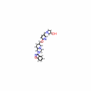 OC1CCN(Cc2ccc(OCC3CCC4CN(c5noc6ccccc56)CCN4C3)nc2)C1